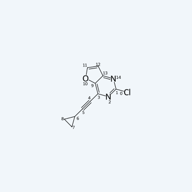 Clc1nc(C#CC2CC2)c2occc2n1